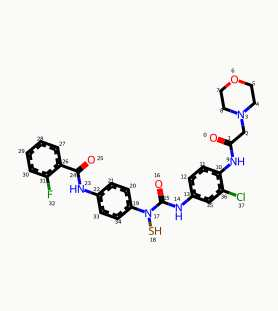 O=C(CN1CCOCC1)Nc1ccc(NC(=O)N(S)c2ccc(NC(=O)c3ccccc3F)cc2)cc1Cl